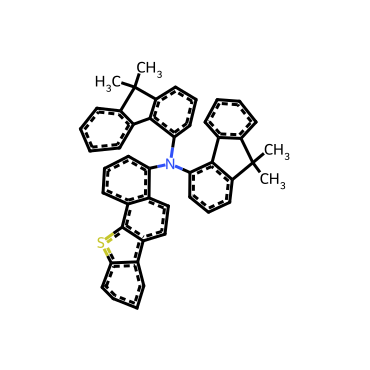 CC1(C)c2ccccc2-c2c(N(c3cccc4c3-c3ccccc3C4(C)C)c3cccc4c3ccc3c5ccccc5sc43)cccc21